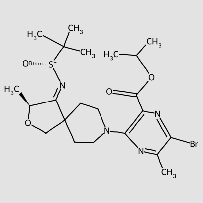 Cc1nc(N2CCC3(CC2)CO[C@@H](C)/C3=N\[S@+]([O-])C(C)(C)C)c(C(=O)OC(C)C)nc1Br